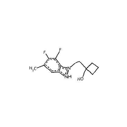 Cc1cc2[nH]n(CC3(O)CCC3)c2c(F)c1F